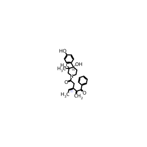 C=C(C(=O)c1ccccc1)/C(=C\C)CC(=O)N1CC[C@](O)(c2ccc(O)cc2)C(C)(C)C1